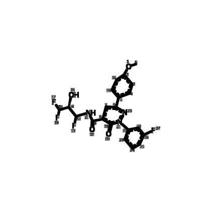 COc1ccc(-c2cc(C(=O)NC(F)[C@H](O)C(F)F)c(=O)n(-c3cccc(F)c3)n2)cc1